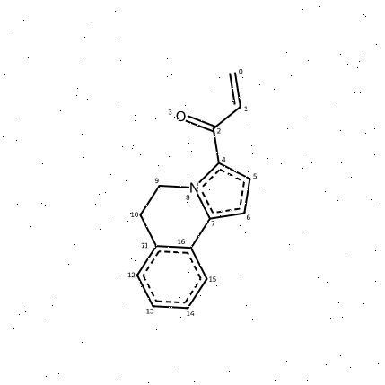 C=CC(=O)c1ccc2n1CCc1ccccc1-2